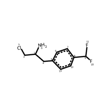 NC(CCl)Cc1ccc(C(F)F)cc1